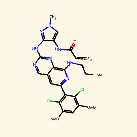 C=CC(=O)Nc1cn(C)nc1Nc1ncc2cc(-c3c(Cl)c(OC)cc(OC)c3Cl)nc(NCCOC)c2n1